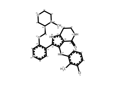 Cc1c(Cl)cccc1Nc1c(-c2ccncc2OC[C@H]2COCCN2C)[nH]c2c1C(=O)NCC2